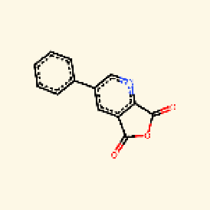 O=C1OC(=O)c2ncc(-c3ccccc3)cc21